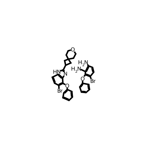 Brc1ccc2[nH]c(C3CC4(CCOCC4)C3)nc2c1Oc1ccccc1.Nc1ccc(Br)c(Oc2ccccc2)c1N